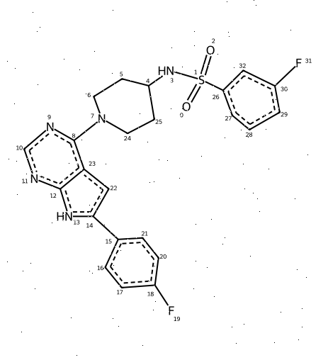 O=S(=O)(NC1CCN(c2ncnc3[nH]c(-c4ccc(F)cc4)cc23)CC1)c1cccc(F)c1